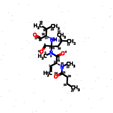 C=C[C@H](C(=O)N(C)[C@@](C=O)(CC(C)C)N[C@H](C=O)C(C)C)N(C)C(=O)CCC